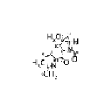 C=C/N=C(\C=C/C)C(=O)[C@@H]1C[C@@]2(C)C[C@H]2N1C=O